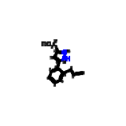 C=CCc1ccccc1-c1cc(C(=O)OCC)n[nH]1